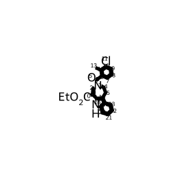 CCOC(=O)C1=CN(C(=O)c2cccc(Cl)c2C)CCc2c1[nH]c1ccccc21